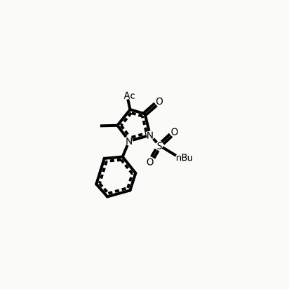 CCCCS(=O)(=O)n1c(=O)c(C(C)=O)c(C)n1-c1ccccc1